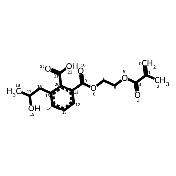 C=C(C)C(=O)OCCOC(=O)c1cccc(CC(C)O)c1C(=O)O